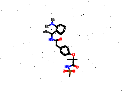 CCCCC(NC(=O)Cc1ccc(OC(C)(C)C(=O)NS(C)(=O)=O)cc1)c1ccccc1N(CC)CC